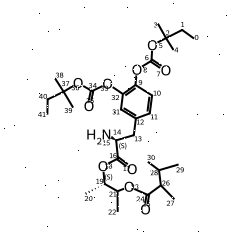 CCC(C)(C)OC(=O)Oc1ccc(C[C@H](N)C(=O)O[C@@H](C)C(C)OC(=O)C(C)C(C)C)cc1OC(=O)OC(C)(C)CC